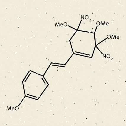 COc1ccc(C=CC2=CC(OC)([N+](=O)[O-])C(OC)C(OC)([N+](=O)[O-])C2)cc1